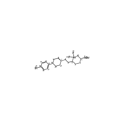 CCCCC1CCC(CCC2CCC(c3ccc(CC)cc3)CC2)C(F)(F)C1